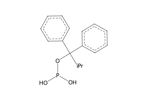 CC(C)C(OP(O)O)(c1ccccc1)c1ccccc1